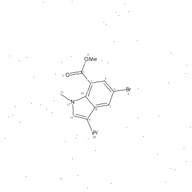 COC(=O)c1cc(Br)cc2c(C(C)C)cn(C)c12